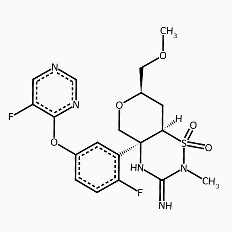 COC[C@H]1C[C@@H]2[C@](c3cc(Oc4ncncc4F)ccc3F)(CO1)NC(=N)N(C)S2(=O)=O